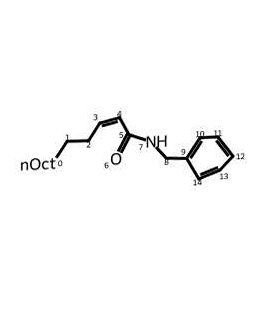 CCCCCCCCCC/C=C\C(=O)NCc1ccccc1